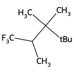 CC(C(F)(F)F)C(C)(C)C(C)(C)C